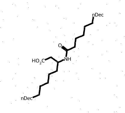 CCCCCCCCCCCCCCCC(=O)NC(CCCCCCCCCCCCCCC)CC(=O)O